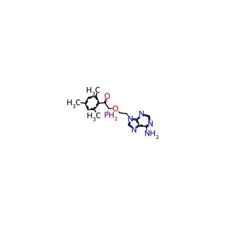 Cc1cc(C)c(C(=O)[C@@H](P)OCCn2cnc3c(N)ncnc32)c(C)c1